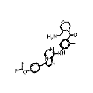 Cc1cc(Nc2nccn3c(-c4ccc(OC(F)F)cc4)cnc23)ccc1C(=O)N1CCOCC1CN